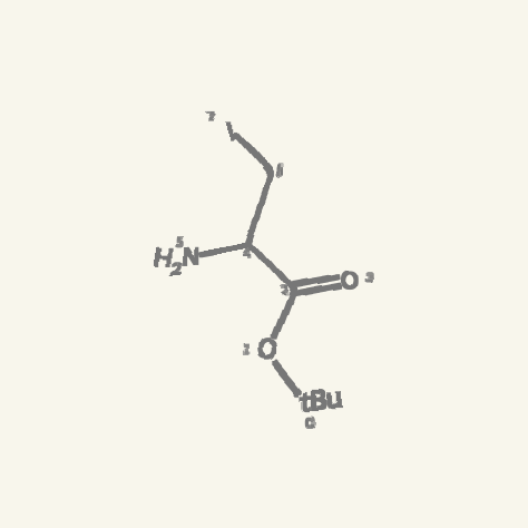 CC(C)(C)OC(=O)C(N)CI